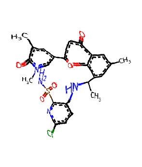 Cc1cc(C(C)Nc2ccc(Cl)nc2S(N)(=O)=O)c2oc(-c3cc(C)c(=O)n(C)c3)cc(=O)c2c1